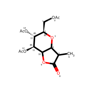 CC(=O)OC[C@H]1OC2C(C)C(=O)OC2[C@@H](OC(C)=O)[C@@H]1OC(C)=O